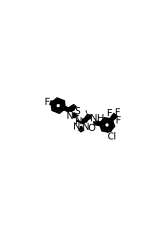 C[C@H](NC(=O)c1cc(Cl)cc(C(F)(F)F)c1)c1ncnn1-c1nc(-c2ccc(F)cc2)cs1